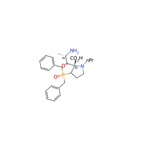 CCCN1CCC(P(=O)(Cc2ccccc2)Cc2ccccc2)[C@]1(C(=O)O)C(=O)[C@H](C)N